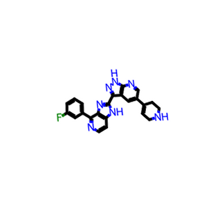 Fc1cccc(-c2nccc3[nH]c(-c4n[nH]c5ncc(C6=CCNCC6)cc45)nc23)c1